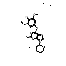 COc1cc(Nc2nc(F)nc3c2ncn3C2CCCCO2)cc(OC)c1O